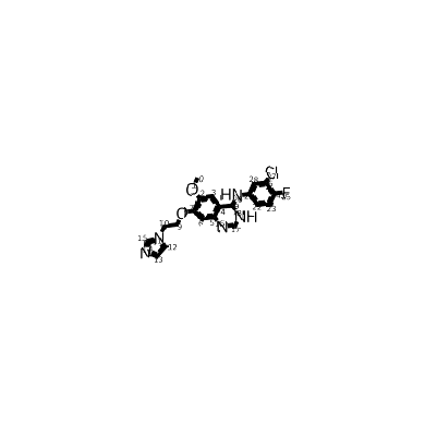 COc1cc2c(cc1OCCn1ccnc1)N=CNC2Nc1ccc(F)c(Cl)c1